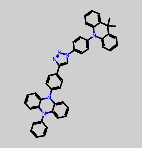 CC1(C)c2ccccc2N(c2ccc(-n3cc(-c4ccc(N5c6ccccc6N(c6ccccc6)c6ccccc65)cc4)nn3)cc2)c2ccccc21